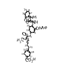 COc1cc(CC(=O)N(C)CCCc2ccc(C(=O)O)cc2)ccc1NC(=O)Nc1ccccc1C